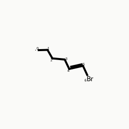 [CH2]CCCC=CBr